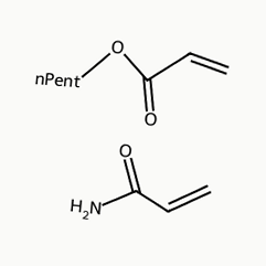 C=CC(=O)OCCCCC.C=CC(N)=O